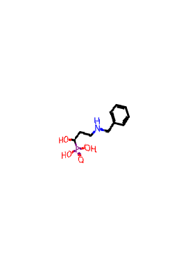 O=P(O)(O)C(O)CCNCc1ccccc1